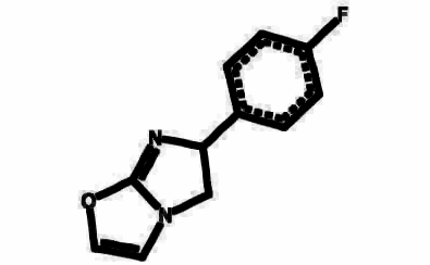 Fc1ccc(C2CN3C=COC3=N2)cc1